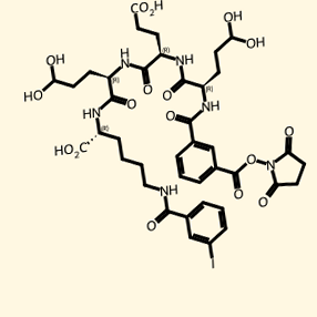 O=C(O)CC[C@@H](NC(=O)[C@@H](CCC(O)O)NC(=O)c1cccc(C(=O)ON2C(=O)CCC2=O)c1)C(=O)N[C@H](CCC(O)O)C(=O)N[C@H](CCCCNC(=O)c1cccc(I)c1)C(=O)O